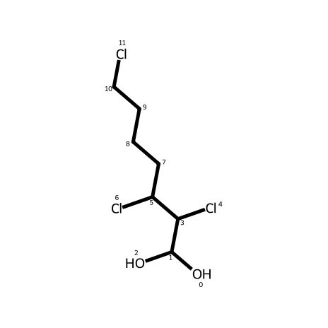 OC(O)C(Cl)C(Cl)CCCCCl